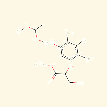 CCCCCCCCOC(=O)C(O)CO.CCOC(C)OCC.CCc1c(C=O)ccc(O)c1OC